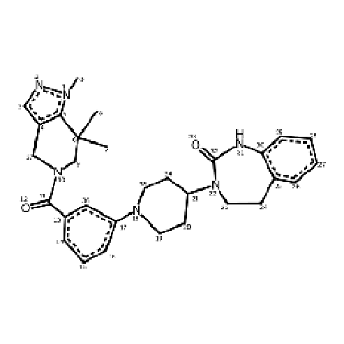 Cn1ncc2c1C(C)(C)CN(C(=O)c1cccc(N3CCC(N4CCc5ccccc5NC4=O)CC3)c1)C2